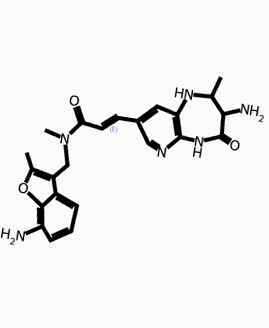 Cc1oc2c(N)cccc2c1CN(C)C(=O)/C=C/c1cnc2c(c1)NC(C)C(N)C(=O)N2